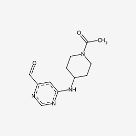 CC(=O)N1CCC(Nc2cc(C=O)ncn2)CC1